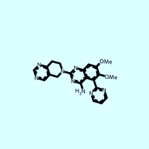 COc1cc2nc(N3CCc4ncncc4C3)nc(N)c2c(-c2ncccn2)c1OC